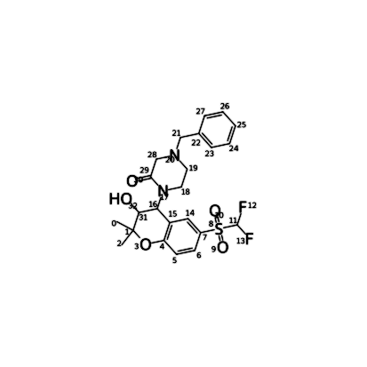 CC1(C)Oc2ccc(S(=O)(=O)C(F)F)cc2C(N2CCN(Cc3ccccc3)CC2=O)C1O